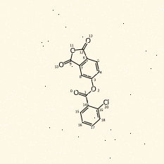 O=C(Oc1ccc2c(c1)C(=O)OC2=O)c1ccccc1Cl